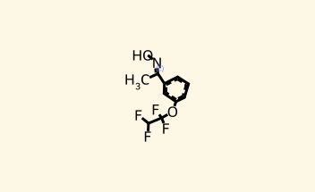 C/C(=N\O)c1cccc(OC(F)(F)C(F)F)c1